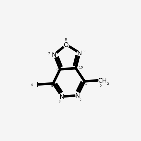 Cc1nnc(I)c2nonc12